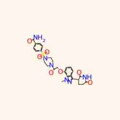 Cn1nc(C2CCC(=O)NC2=O)c2cccc(OCC(=O)N3CCN(S(=O)(=O)c4ccc(C(N)=O)cc4)CC3)c21